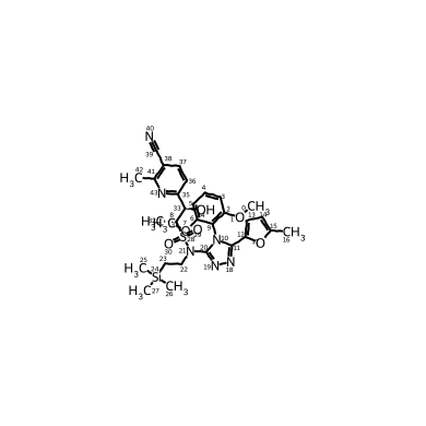 COc1cccc(OC)c1-n1c(-c2ccc(C)o2)nnc1N(CC[Si](C)(C)C)S(=O)(=O)[C@H](C)[C@H](O)c1ccc(C#N)c(C)n1